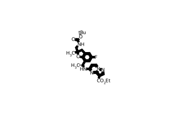 CCOC(=O)c1cnn2ccc(N[C@H](C)c3cc(F)cc4c3OC(C)(CNC(=O)OC(C)(C)C)C4)nc12